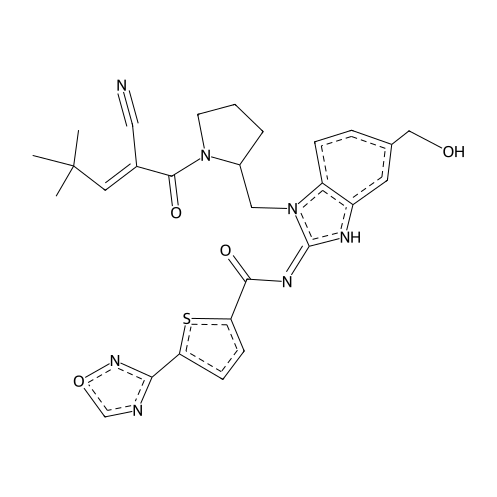 CC(C)(C)C=C(C#N)C(=O)N1CCCC1Cn1c(=NC(=O)c2ccc(-c3ncon3)s2)[nH]c2cc(CO)ccc21